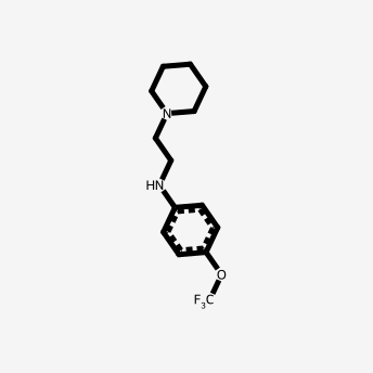 FC(F)(F)Oc1ccc(NCCN2CCCCC2)cc1